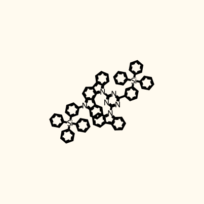 c1ccc([Si](c2ccccc2)(c2ccccc2)c2cccc(-c3nc(-n4c5ccccc5c5ccccc54)nc(-n4c5ccccc5c5ccc6c(c7ccccc7n6-c6cccc([Si](c7ccccc7)(c7ccccc7)c7ccccc7)c6)c54)n3)c2)cc1